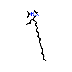 CCCCCCCCCCCCCCCC(CCC)c1nccn1C(C)C